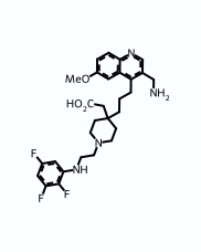 COc1ccc2ncc(CN)c(CCCC3(CC(=O)O)CCN(CCNc4cc(F)cc(F)c4F)CC3)c2c1